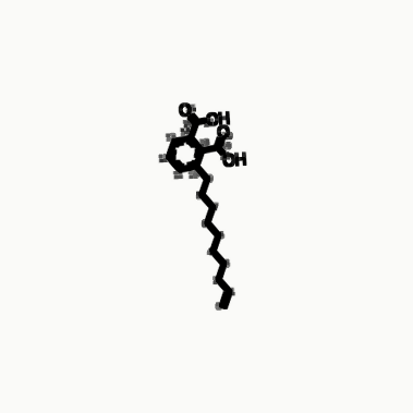 C=CCCCCCCCCc1cccc(C(=O)O)c1C(=O)O